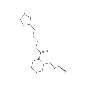 O=COCC1CCCCN1C(=O)CCCCC1CCSS1